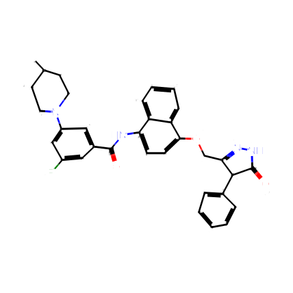 CC1CCN(c2cc(F)cc(C(=O)Nc3ccc(OCC4=NNC(=O)C4c4ccccc4)c4ccccc34)c2)CC1